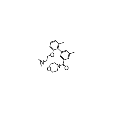 Cc1cc(C(=O)N2CCOCC2)cc(-c2c(C)cccc2OCCN(C)C)c1